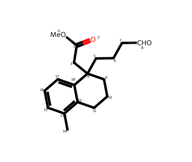 COC(=O)CC1(CCCC=O)CCCc2c(C)cccc21